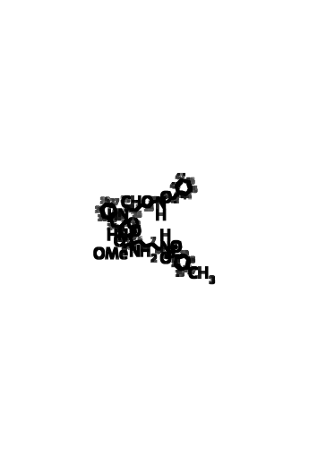 COC(=O)[C@@](N)(CCCCNS(=O)(=O)c1ccc(C)cc1)C(=O)N[C@@H](Cc1ccccc1)C(=O)N[C@H](C=O)CCCCNOCc1ccccc1